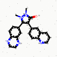 Cn1c(-c2ccc3nccnc3c2)c(-c2ccc3ncccc3c2)c(=O)n1C